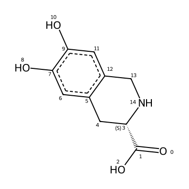 O=C(O)[C@@H]1Cc2cc(O)c(O)cc2CN1